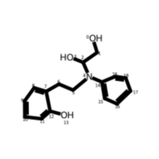 OCC(O)N(CCc1ccccc1O)c1ccccc1